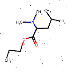 CCCOC(=O)C(CC(C)C)N(C)C